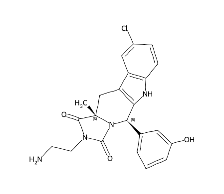 C[C@@]12Cc3c([nH]c4ccc(Cl)cc34)[C@@H](c3cccc(O)c3)N1C(=O)N(CCN)C2=O